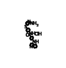 Cl.Nc1cc(Sc2ccc(NC(=O)c3ccc(Nc4ccnc5ccccc45)cc3)cc2)ccn1